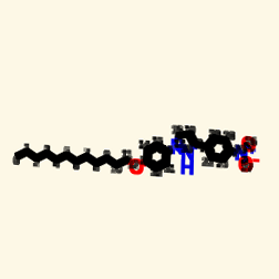 CCCCCCCCCCCCOc1ccc(N2CC=C(c3ccc([N+](=O)[O-])cc3)N2)cc1